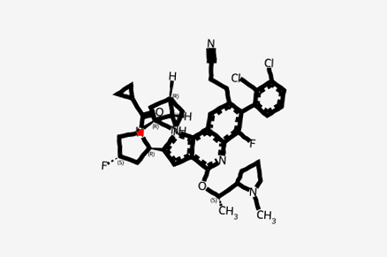 C[C@H](Oc1nc2c(F)c(-c3cccc(Cl)c3Cl)c(CCC#N)cc2c2c1cc([C@H]1C[C@H](F)CN1C(=O)C1CC1)n2[C@H]1[C@H]2CN[C@@H]1C2)C1CCCN1C